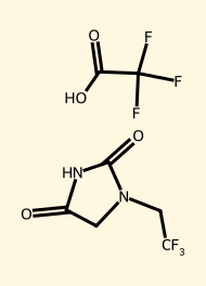 O=C(O)C(F)(F)F.O=C1CN(CC(F)(F)F)C(=O)N1